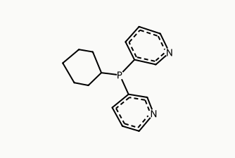 c1cncc(P(c2cccnc2)C2CCCCC2)c1